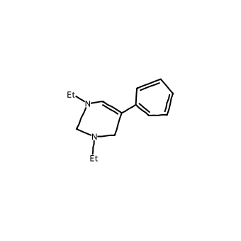 CCN1C=C(c2ccccc2)CN(CC)C1